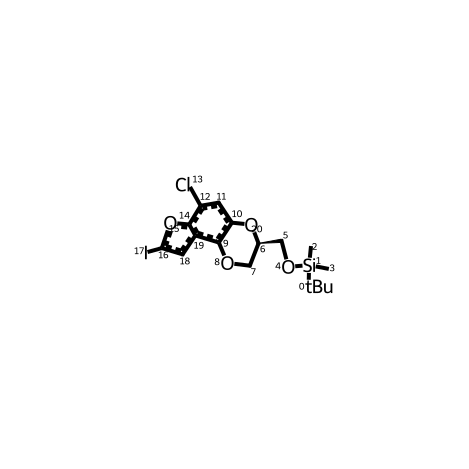 CC(C)(C)[Si](C)(C)OC[C@H]1COc2c(cc(Cl)c3oc(I)cc23)O1